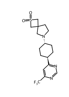 O=S1(=O)CC2(CCN([C@H]3CC[C@H](c4cc(C(F)(F)F)ncn4)CC3)C2)C1